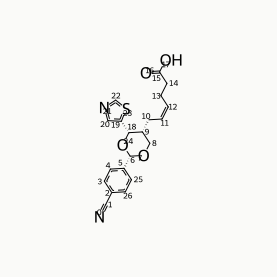 N#Cc1ccc([C@H]2OC[C@@H](C/C=C\CCC(=O)O)[C@@H](c3cncs3)O2)cc1